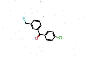 O=C(c1ccc(Cl)cc1)c1cccc(CF)c1